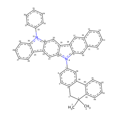 CC1(C)Cc2ccc(-n3c4cc5ccccc5cc4c4cc5c(cc43)c3ccccc3n5-c3ccccc3)cc2-c2ccccc21